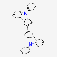 C1=CC(n2c3ccccc3c3cc(-c4ccc5c(c4)c4ccccc4n5-c4ccccc4)ccc32)=CCC1